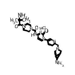 CC(C)(N)C(=O)N1CCN(C(=O)Nc2ccn(-c3ccc(CN4CC5C(N)C5C4)nc3)c(=O)n2)CC1.Cl